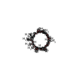 CCCC[C@H]1C(=O)N(C)[C@@H](CCSC)C(=O)N[C@@H](CCCNC(=N)N)C(=O)NC(C(=O)NCC(N)=O)CSCC(=O)N[C@@H](Cc2ccc(O)cc2)C(=O)N(C)[C@@H](C)C(=O)N[C@@H](CC(N)=O)C(=O)N2CCC[C@H]2C(=O)N[C@@H](CN)C(=O)N[C@@H](CC(C)C)C(=O)N2CCC[C@H]2C(=O)N[C@@H](Cc2c[nH]c3ccccc23)C(=O)N[C@@H](CO)C(=O)N[C@@H](Cc2csc3ccccc23)C(=O)N1C